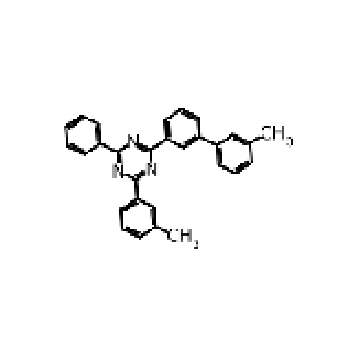 Cc1cccc(-c2cccc(-c3nc(-c4ccccc4)nc(-c4cccc(C)c4)n3)c2)c1